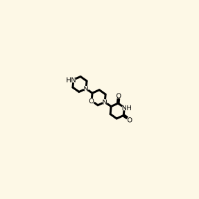 O=C1CCC(N2CCC(N3CCNCC3)OC2)C(=O)N1